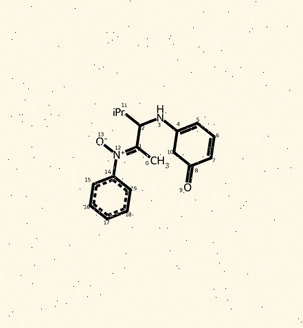 CC(C(NC1=CC=CC(=O)C1)C(C)C)=[N+]([O-])c1ccccc1